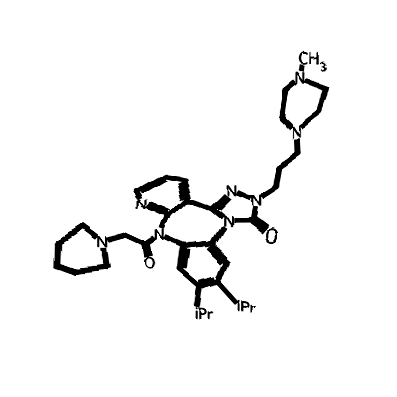 CC(C)c1cc2c(cc1C(C)C)-n1c(nn(CCCN3CCN(C)CC3)c1=O)-c1cccnc1N2C(=O)CN1CCCCC1